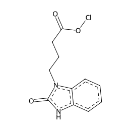 O=C(CCCn1c(=O)[nH]c2ccccc21)OCl